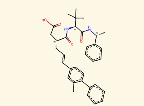 Cc1cc(C=CC[C@H](CC(=O)O)C(=O)N[C@H](C(=O)N[C@H](C)c2ccccc2)C(C)(C)C)ccc1-c1ccccc1